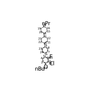 CCCCOc1ccc(-c2ccc(C3=CCC(C4CCC(CCC)CC4)CC3)cc2)c(F)c1Cl